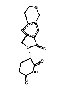 O=C1CC[C@H](N2Cc3cc4c(cc3C2=O)CNCC4)C(=O)N1